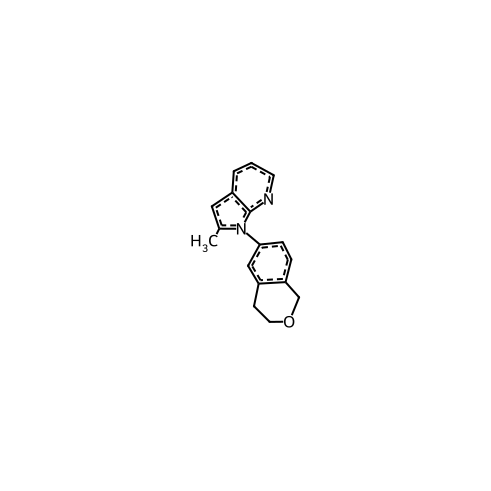 Cc1cc2cccnc2n1-c1ccc2c(c1)CCOC2